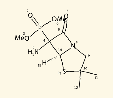 COP(=O)(OC)C1(N)C(=O)N2CC(C)(C)S[C@H]21